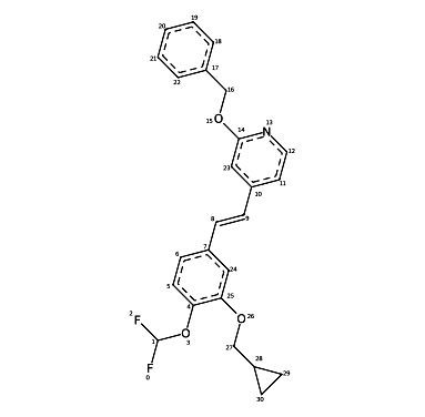 FC(F)Oc1ccc(C=Cc2ccnc(OCc3ccccc3)c2)cc1OCC1CC1